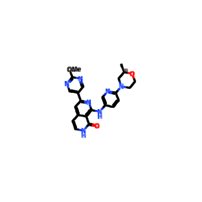 COc1ncc(-c2cc3cc[nH]c(=O)c3c(Nc3ccc(N4CCO[C@H](C)C4)nc3)n2)cn1